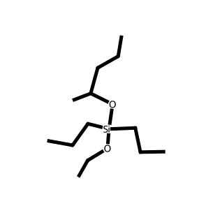 CCCC(C)O[Si](CCC)(CCC)OCC